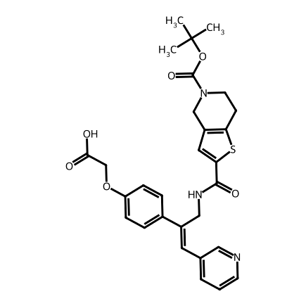 CC(C)(C)OC(=O)N1CCc2sc(C(=O)NC/C(=C\c3cccnc3)c3ccc(OCC(=O)O)cc3)cc2C1